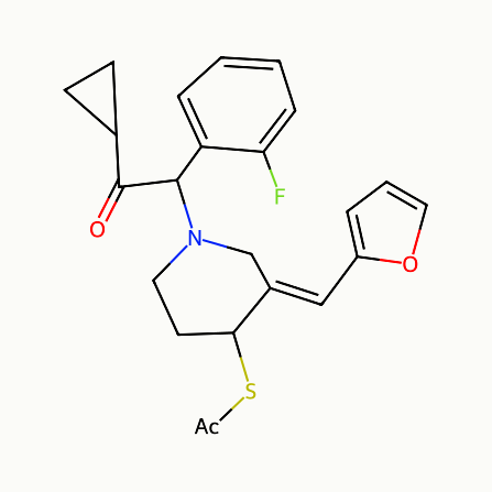 CC(=O)SC1CCN(C(C(=O)C2CC2)c2ccccc2F)C/C1=C\c1ccco1